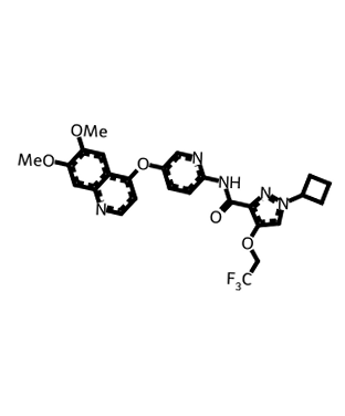 COc1cc2nccc(Oc3ccc(NC(=O)c4nn(C5CCC5)cc4OCC(F)(F)F)nc3)c2cc1OC